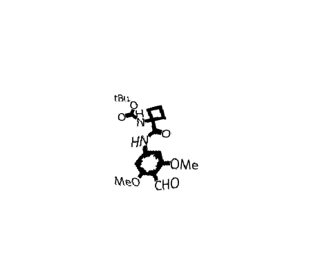 COc1cc(NC(=O)C2(NC(=O)OC(C)(C)C)CCC2)cc(OC)c1C=O